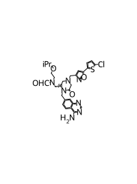 CC(C)OCCN(C=O)C[C@H]1CN(Cc2cc(-c3ccc(Cl)s3)on2)CC(=O)N1Cc1ccc2c(N)ncnc2c1